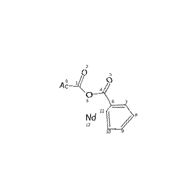 CC(=O)C(=O)OC(=O)c1ccccc1.[Nd]